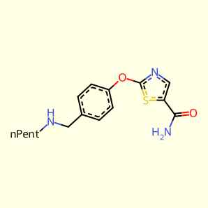 CCCCCNCc1ccc(Oc2ncc(C(N)=O)s2)cc1